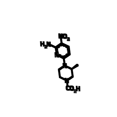 C[C@H]1CN(C(=O)O)CCN1c1ccc([N+](=O)[O-])c(N)n1